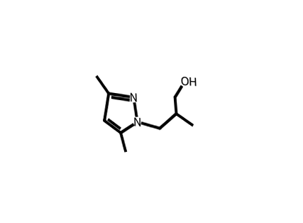 Cc1cc(C)n(CC(C)CO)n1